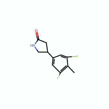 Cc1c(F)cc(C2CNC(=O)C2)cc1F